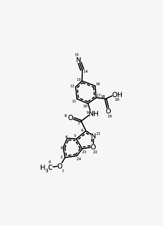 COc1ccc2c(C(=O)Nc3ccc(C#N)cc3C(=O)O)noc2c1